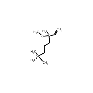 C=C[Si](C)(CCC[Si](C)(C)C)OC